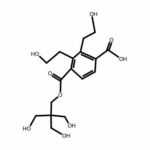 O=C(O)c1ccc(C(=O)OCC(CO)(CO)CO)c(CCO)c1CCO